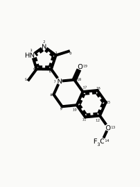 Cc1n[nH]c(C)c1N1CCc2cc(OC(F)(F)F)ccc2C1=O